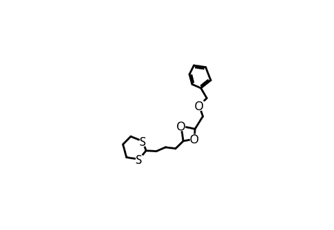 c1ccc(COCC2OC(CCCC3SCCCS3)O2)cc1